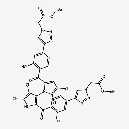 CCCCOC(=O)Cn1cc(-c2ccc(C(=O)c3[nH]c(Cl)c(Cl)c3-n3c(C(=O)c4ccc(-c5cn(CC(=O)OCCCC)nn5)cc4O)cc(Cl)c3Cl)c(O)c2)nn1